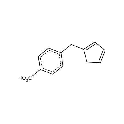 O=C(O)c1ccc(CC2=CC=CC2)cc1